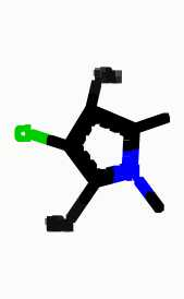 Cc1c(C(C)(C)C)c(Cl)c(C(C)(C)C)n1C